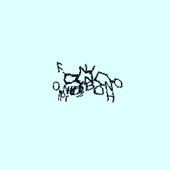 BC1(n2c(C)nc3cc(F)cc(NC(=O)C(C)C)c3c2=O)CCC(=O)NC1=O